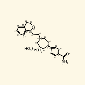 CS(=O)(=O)O.NC(=O)c1ccc(N2CCCN(CC[C@@H]3OCCc4ccccc43)CC2)cc1